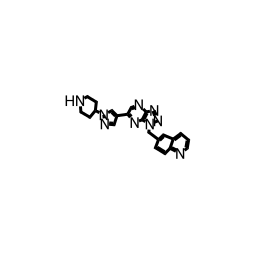 c1cnc2ccc(Cn3nnc4ncc(-c5cnn(C6CCNCC6)c5)nc43)cc2c1